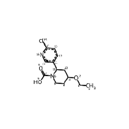 CCOC1CCN(C(=O)O)C(c2ccc(Cl)nc2)C1